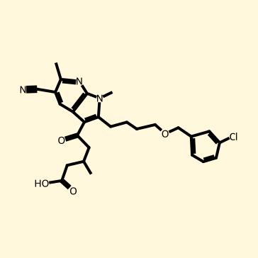 Cc1nc2c(cc1C#N)c(C(=O)CC(C)CC(=O)O)c(CCCCOCc1cccc(Cl)c1)n2C